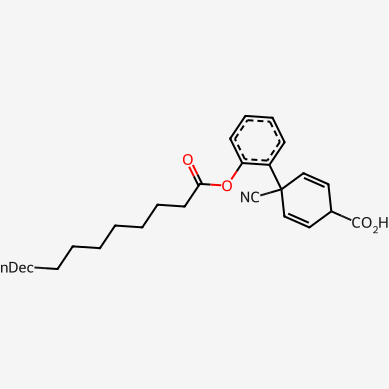 CCCCCCCCCCCCCCCCCC(=O)Oc1ccccc1C1(C#N)C=CC(C(=O)O)C=C1